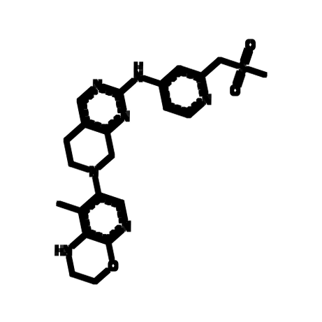 Cc1c(N2CCc3cnc(Nc4ccnc(CS(C)(=O)=O)c4)nc3C2)cnc2c1NCCO2